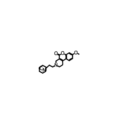 COc1ccc2c3c(c(=O)oc2c1)CN(CCN1CC2CCC1CC2)CC3